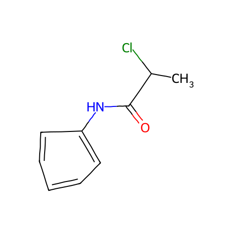 CC(Cl)C(=O)Nc1ccccc1